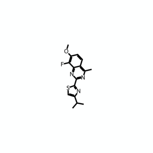 COc1ccc2c(C)nc(-c3nc(C(C)C)cs3)nc2c1F